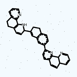 C1=CC2C=Cc3ccc(-c4ccc5c(c4)C=C(C4C=CC6=C(N4)c4ncccc4CC6)CC5)nc3C2N=C1